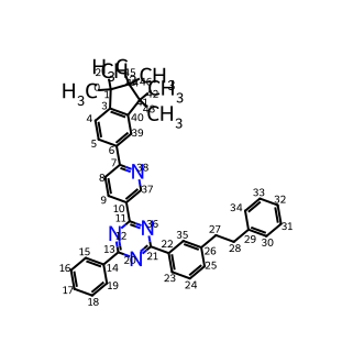 CC1(C)c2ccc(-c3ccc(-c4nc(-c5ccccc5)nc(-c5cccc(CCc6ccccc6)c5)n4)cn3)cc2C(C)(C)C1(C)C